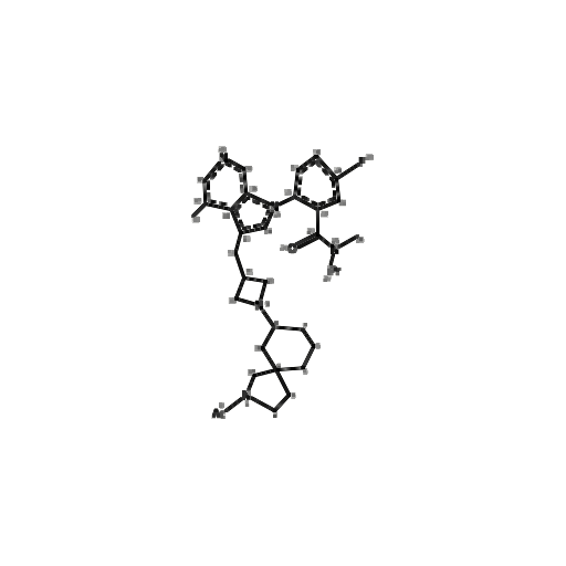 CC(=O)N1CCC2(CCCC(N3CC(Cc4cn(-c5ccc(F)cc5C(=O)N(C)C(C)C)c5cncc(C)c45)C3)C2)C1